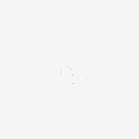 CCCCCCCCCC=CS.CCCCCCCCCCC=CS